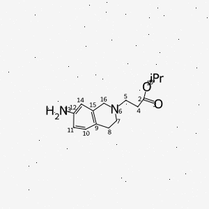 CC(C)OC(=O)CCN1CCc2ccc(N)cc2C1